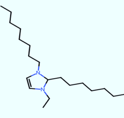 CCCCCCCCN1C=CN(CC)C1CCCCCCC